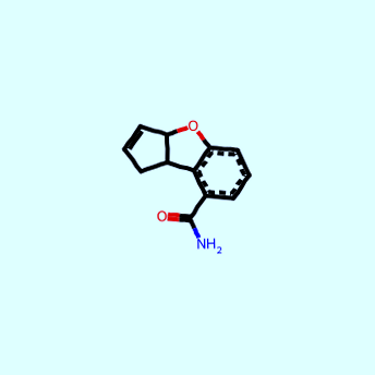 NC(=O)c1cccc2c1C1CC=CC1O2